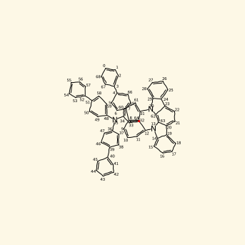 c1ccc(-c2ccc(-c3cccc(-n4c5ccccc5c5ccc6c7ccccc7n(-c7ccc(N(c8ccc(-c9ccccc9)cc8)c8ccc(-c9ccccc9)cc8)cc7)c6c54)c3)cc2)cc1